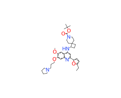 CCc1ccc(-c2cc(NC3CCC34CCN(C(=O)OC(C)(C)C)CC4)c3cc(OC)c(OCCCN4CCCC4)cc3n2)o1